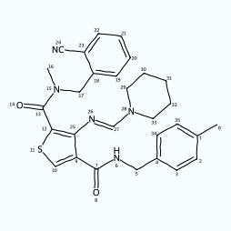 Cc1ccc(CNC(=O)c2csc(C(=O)N(C)Cc3ccccc3C#N)c2/N=C/N2CCCCC2)cc1